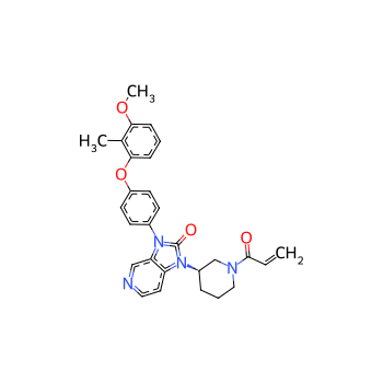 C=CC(=O)N1CCC[C@@H](n2c(=O)n(-c3ccc(Oc4cccc(OC)c4C)cc3)c3cnccc32)C1